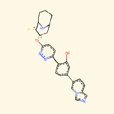 Oc1cc(-c2ccc3cncn3c2)ccc1-c1ccc(O[C@H]2CC3CCCC(N3)[C@H]2F)nn1